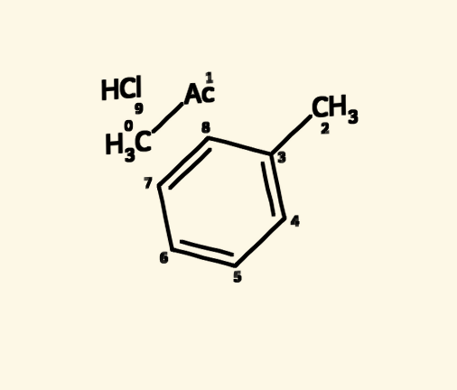 CC(C)=O.Cc1ccccc1.Cl